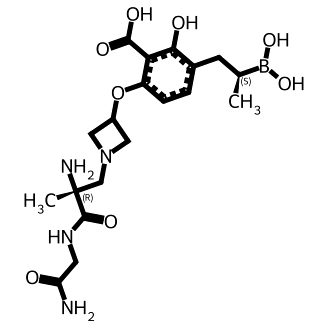 C[C@@H](Cc1ccc(OC2CN(C[C@@](C)(N)C(=O)NCC(N)=O)C2)c(C(=O)O)c1O)B(O)O